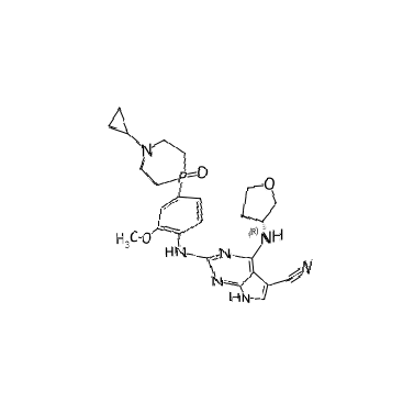 COc1cc(P2(=O)CCN(C3CC3)CC2)ccc1Nc1nc(N[C@@H]2CCOC2)c2c(C#N)c[nH]c2n1